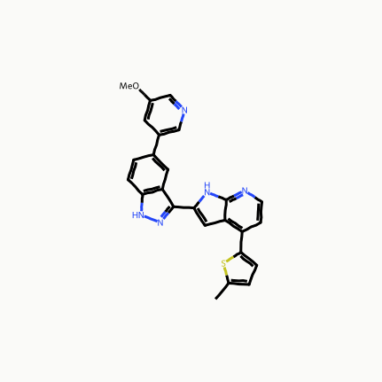 COc1cncc(-c2ccc3[nH]nc(-c4cc5c(-c6ccc(C)s6)ccnc5[nH]4)c3c2)c1